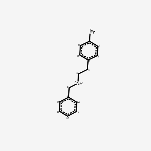 CC(C)c1ccc(CCNCc2ccccc2)cc1